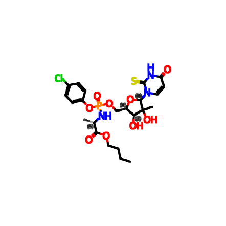 CCCCOC(=O)[C@H](C)NP(=O)(OC[C@H]1O[C@@H](n2ccc(=O)[nH]c2=S)C(C)(O)[C@H]1O)Oc1ccc(Cl)cc1